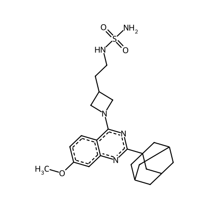 COc1ccc2c(N3CC(CCNS(N)(=O)=O)C3)nc(C34CC5CC(CC(C5)C3)C4)nc2c1